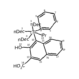 CCCCCCCCC[CH2][Ti]([CH2]CCCCCCCCC)([CH2]CCCCCCCCC)([c]1ccccc1)([c]1c(O)c(C(=O)O)cc2ccccc12)[CH](C)C